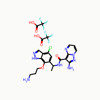 CC(NC(=O)c1c(N)nn2cccnc12)c1cc(Cl)c2cn[nH]c2c1OCCCN.O=C(O)C(F)(F)F.O=C(O)C(F)(F)F